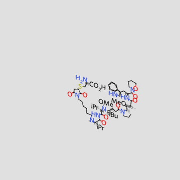 CC[C@H](C)[C@@H]([C@@H](CC(=O)N1CCC[C@H]1[C@H](OC)[C@@H](C)C(=O)N[C@@H](Cc1c[nH]c2ccccc12)C(=O)N1CCCCO1)OC)N(C)[C@H](C(=O)NC(=O)[C@H](C(C)C)N(C)CCCCCCN1C(=O)CC(SC[C@H](N)C(=O)O)C1=O)C(C)C